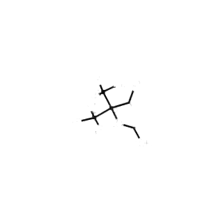 OCOC(CF)(C(F)(F)F)C(F)(F)F